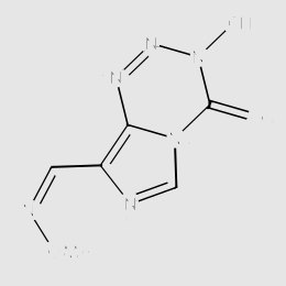 CO/N=C\c1ncn2c(=O)n(C)nnc12